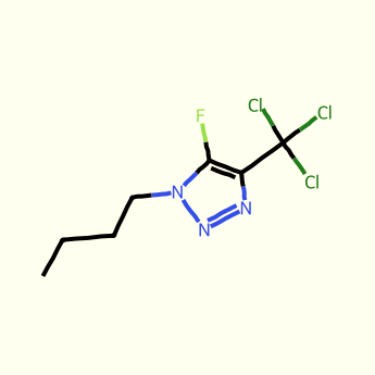 CCCCn1nnc(C(Cl)(Cl)Cl)c1F